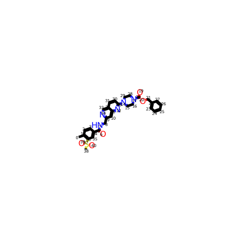 Cc1ccc(C(=O)NCc2cc3nc(N4CCN(C(=O)OCc5ccccc5)CC4)ccc3cn2)cc1S(C)(=O)=O